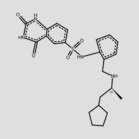 C[C@@H](CC1CCCC1)NCc1ccccc1NS(=O)(=O)c1ccc2[nH]c(=O)[nH]c(=O)c2c1